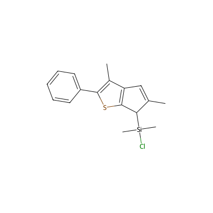 CC1=Cc2c(sc(-c3ccccc3)c2C)C1[Si](C)(C)Cl